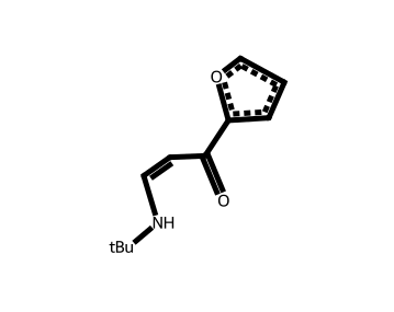 CC(C)(C)N/C=C\C(=O)c1ccco1